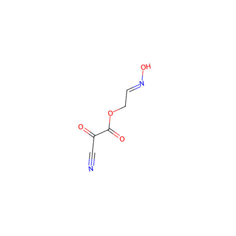 N#CC(=O)C(=O)OCC=NO